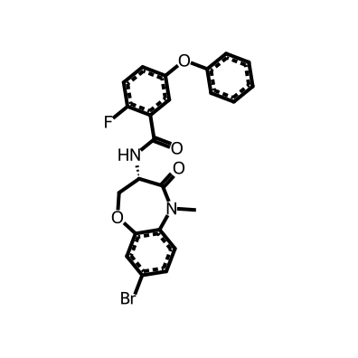 CN1C(=O)[C@@H](NC(=O)c2cc(Oc3ccccc3)ccc2F)COc2cc(Br)ccc21